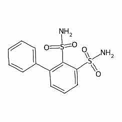 NS(=O)(=O)c1cccc(-c2ccccc2)c1S(N)(=O)=O